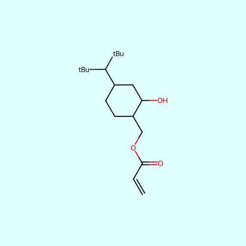 C=CC(=O)OCC1CCC(C(C(C)(C)C)C(C)(C)C)CC1O